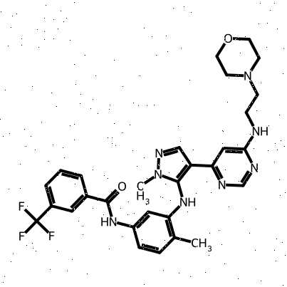 Cc1ccc(NC(=O)c2cccc(C(F)(F)F)c2)cc1Nc1c(-c2cc(NCCN3CCOCC3)ncn2)cnn1C